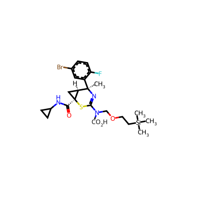 C[C@]1(c2cc(Br)ccc2F)N=C(N(COCC[Si](C)(C)C)C(=O)O)S[C@@]2(C(=O)NC3CC3)C[C@H]21